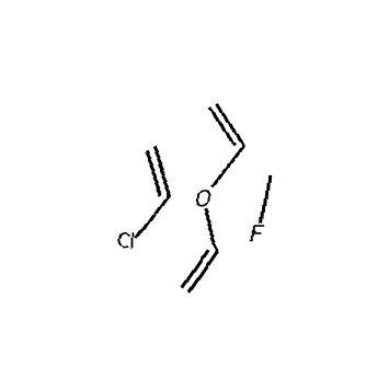 C=CCl.C=COC=C.CF